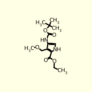 CCOC(=O)c1[nH]cc(NC(=O)OC(C)(C)C)c1COC